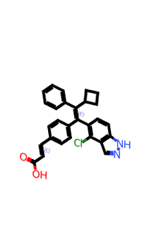 O=C(O)/C=C/c1ccc(/C(=C(\c2ccccc2)C2CCC2)c2ccc3[nH]ncc3c2Cl)cc1